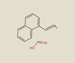 C=Cc1cccc2ccccc12.O=CO